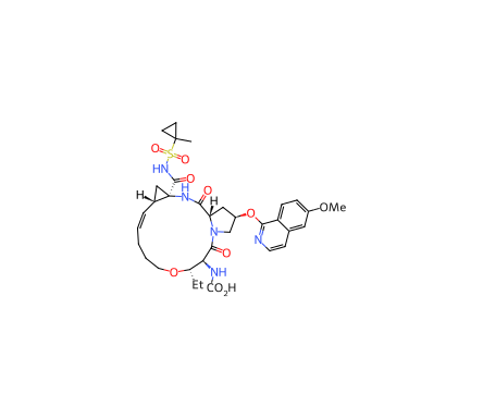 CC[C@@H]1OCCCC=C[C@@H]2C[C@@]2(C(=O)NS(=O)(=O)C2(C)CC2)NC(=O)[C@@H]2C[C@@H](Oc3nccc4cc(OC)ccc34)CN2C(=O)[C@H]1NC(=O)O